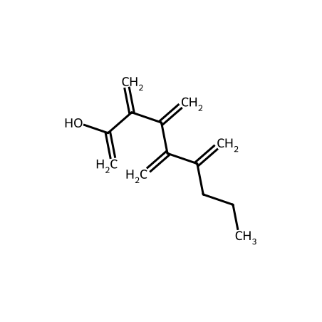 C=C(O)C(=C)C(=C)C(=C)C(=C)CCC